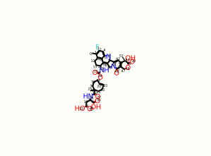 Cc1c(F)cc2nc3c(c4c2c1CC[C@@H]4NC(=O)O[C@H]1/C=C/CCC(C)(C(=O)NC(CC(=O)O)C(=O)O)CC1)Cn1c-3cc2c(c1=O)COC(=O)[C@@]2(C)O